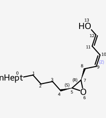 CCCCCCCCCCC[C@@H]1O[C@@H]1C/C=C\C=CO